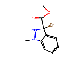 COC(=O)C1(Br)NN(C)c2ccccc21